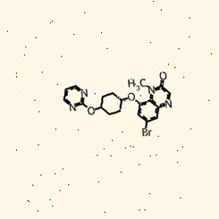 Cn1c(=O)cnc2cc(Br)cc(OC3CCC(Oc4ncccn4)CC3)c21